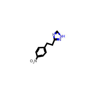 O=[N+]([O-])c1ccc(CCc2nc[nH]n2)cc1